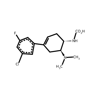 CN(C)[C@H]1CC(c2cc(F)cc(Cl)c2)=CC[C@@H]1NC(=O)O